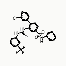 O=C(Nc1cccc(C(F)(F)F)c1)Nc1cc(S(=O)(=O)Nc2ccccc2)ccc1-c1cccc(Cl)c1